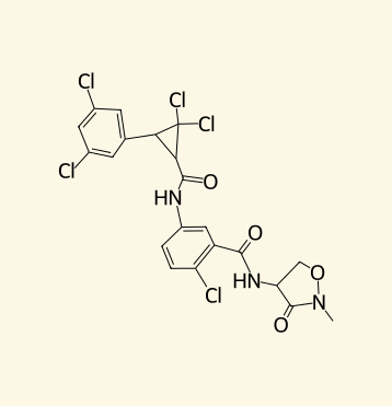 CN1OCC(NC(=O)c2cc(NC(=O)C3C(c4cc(Cl)cc(Cl)c4)C3(Cl)Cl)ccc2Cl)C1=O